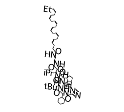 CC/C=C\C/C=C\C/C=C\C/C=C\C/C=C\C/C=C\CCC(=O)NCCNC(=O)C(=O)[C@@H](NC(=O)C1[C@H]2CCC[C@H]2CN1C(=O)C(NC(=O)[C@@H](NC(=O)c1cnccn1)C1CCCCC1)C(C)(C)C)C(C)C